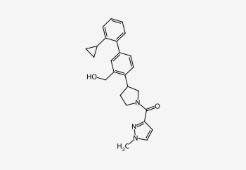 Cn1ccc(C(=O)N2CCC(c3ccc(-c4ccccc4C4CC4)cc3CO)C2)n1